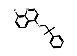 CC(C)(CNc1ccnc2c(F)cccc12)c1ccccc1